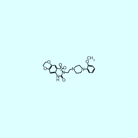 COc1ccccc1N1CCN(CCN2C(=O)Nc3cc4c(cc3S2(=O)=O)OCCO4)CC1